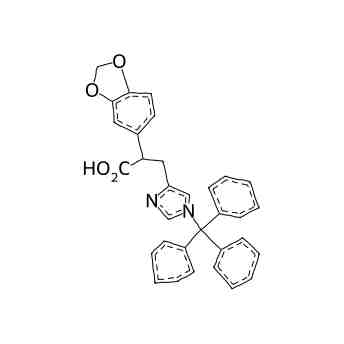 O=C(O)C(Cc1cn(C(c2ccccc2)(c2ccccc2)c2ccccc2)cn1)c1ccc2c(c1)OCO2